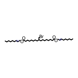 CCCCCC/C=C/COC(=O)CCCCCCCC(CBr)CCCCCCCC(=O)OC/C=C/CCCCCC